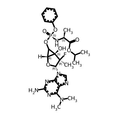 CC(C)OC(=O)[C@H](C)N[P@@](=O)(Oc1ccccc1)OC1[C@H]2O[C@@H](n3cnc4c(N(C)C)nc(N)nc43)[C@](C)(F)[C@@]12O